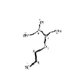 CCCCP(OCCC#N)N(C(C)C)C(C)C